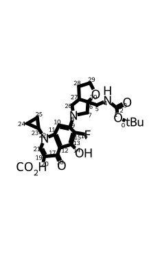 CC(C)(C)OC(=O)NCC12CN(c3cc4c(c(O)c3F)c(=O)c(C(=O)O)cn4C3CC3)CC1CCO2